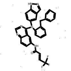 O=C(C=CC(F)(F)F)Nc1ccc2ncnc(N(c3ccc4[nH]ncc4c3)c3ccccc3Cc3ccccc3)c2c1